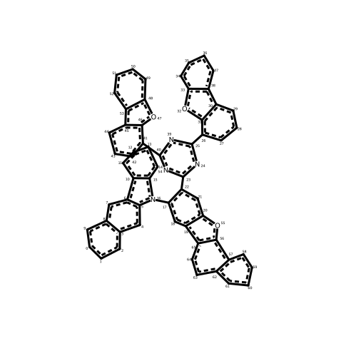 c1ccc2cc3c(cc2c1)c1ccccc1n3-c1cc2c(cc1-c1nc(-c3cccc4c3oc3ccccc34)nc(-c3cccc4c3oc3ccccc34)n1)oc1c3ccccc3ccc21